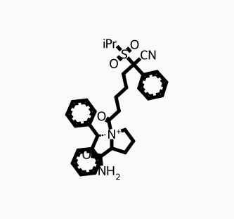 CC(C)S(=O)(=O)C(C#N)(CCCCC(=O)[N@@+]1(C(c2ccccc2)c2ccccc2)CCCC1C(N)=O)c1ccccc1